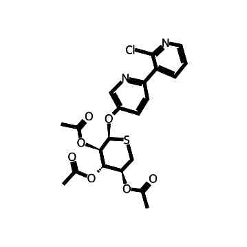 CC(=O)O[C@@H]1[C@@H](OC(C)=O)[C@@H](Oc2ccc(-c3cccnc3Cl)nc2)SC[C@H]1OC(C)=O